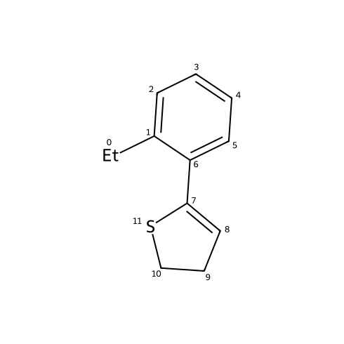 CCc1ccccc1C1=CCCS1